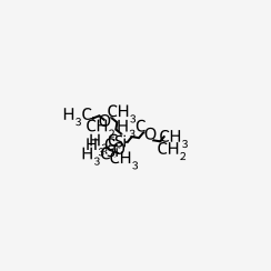 C=C(C)COC(C)CCC[Si](C)(CCCC(C)OCC(=C)C)O[Si](C)(C)C